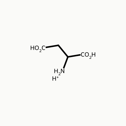 NC(CC(=O)O)C(=O)O.[H+]